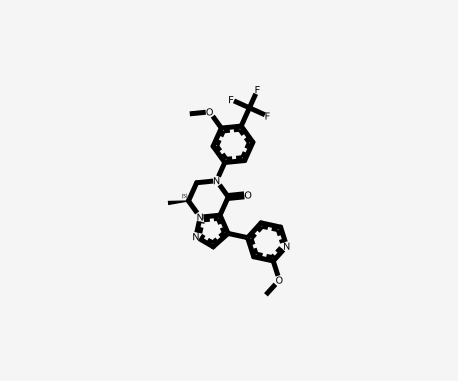 COc1cc(-c2cnn3c2C(=O)N(c2ccc(C(F)(F)F)c(OC)c2)C[C@@H]3C)ccn1